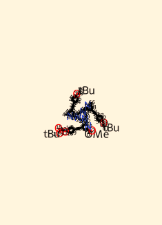 COC(=O)c1cc(C#Cc2ccc(OCC(=O)OC(C)(C)C)cc2)cc(CN2CCN(Cc3cc(C#Cc4ccc(OCC(C)(C)C)cc4)cc(C)n3)CCN(Cc3cc(C#Cc4ccc(OCC(C)(C)C)cc4)cc(C)n3)CC2)n1